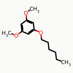 CCCCCCOc1cc(OC)cc(OC)c1